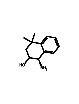 CC1(C)CC(O)[C@H](N)c2ccccc21